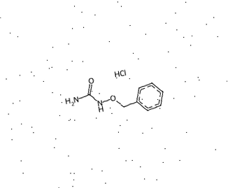 Cl.NC(=O)NOCc1ccccc1